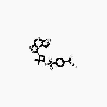 CC1(C)[C@@H](c2nnc3cnc4[nH]ccc4n23)C[C@H]1NS(=O)(=O)c1ccc(C(N)=O)cc1